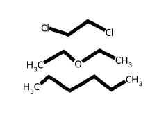 CCCCCC.CCOCC.ClCCCl